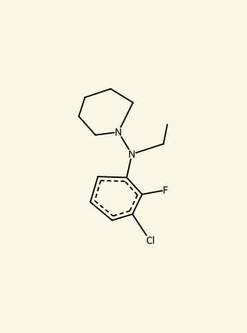 CCN(c1cccc(Cl)c1F)N1CCCCC1